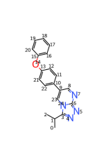 CC(C)c1nnc2ncc(-c3ccc(Oc4ccccc4)cc3)cn12